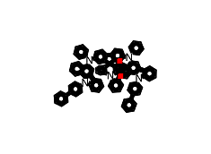 c1ccc(-c2ccc(-n3c4ccccc4c4cc(N(c5ccccc5)c5ccc6c(c5)C5(c7cc(N(c8ccccc8)c8cc9c%10ccccc%10n(-c%10ccc(-c%11ccccc%11)cc%10)c9c9ccccc89)ccc7-6)c6ccccc6-n6c7ccccc7c7cccc5c76)c5ccccc5c43)cc2)cc1